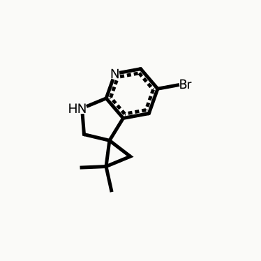 CC1(C)CC12CNc1ncc(Br)cc12